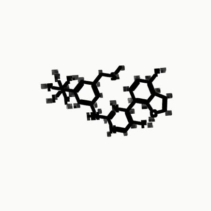 CSCc1cc(Nc2ncc(F)c(-c3ccc(F)c4ccoc34)n2)cc(S(F)(F)(F)(F)F)c1